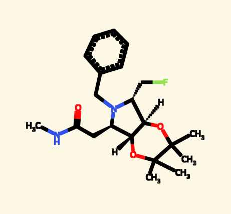 CNC(=O)C[C@@H]1[C@H]2OC(C)(C)C(C)(C)O[C@@H]2[C@@H](CF)N1Cc1ccccc1